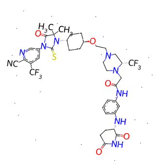 CC1(C)C(=O)N(c2cnc(C#N)c(C(F)(F)F)c2)C(=S)N1[C@H]1CC[C@H](OCCN2CCN(CC(=O)Nc3cccc(N[C@H]4CCC(=O)NC4=O)c3)[C@@H](C(F)(F)F)C2)CC1